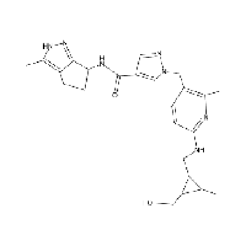 Cc1nc(NCC2C(C)C2CO)ccc1Cn1cc(C(=O)NC2CCc3c2n[nH]c3C)cn1